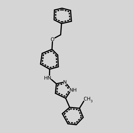 Cc1ccccc1-c1cc(Nc2ccc(OCc3ccccc3)cc2)n[nH]1